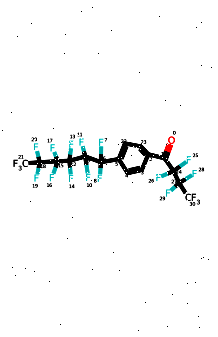 O=C(c1ccc(C(F)(F)C(F)(F)C(F)(F)C(F)(F)C(F)(F)C(F)(F)F)cc1)C(F)(F)C(F)(F)C(F)(F)F